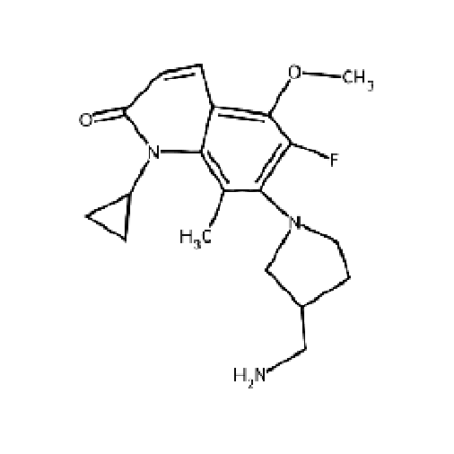 COc1c(F)c(N2CCC(CN)C2)c(C)c2c1ccc(=O)n2C1CC1